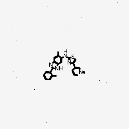 C=N/C=C(\C=C/C)c1csc(Nc2cc3[nH]c(-c4ccccc4C)nc3cc2C)n1